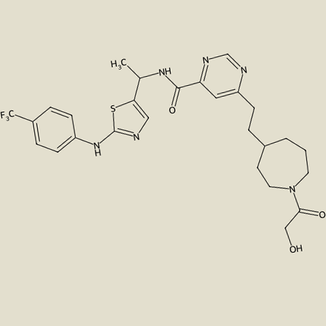 CC(NC(=O)c1cc(CCC2CCCN(C(=O)CO)CC2)ncn1)c1cnc(Nc2ccc(C(F)(F)F)cc2)s1